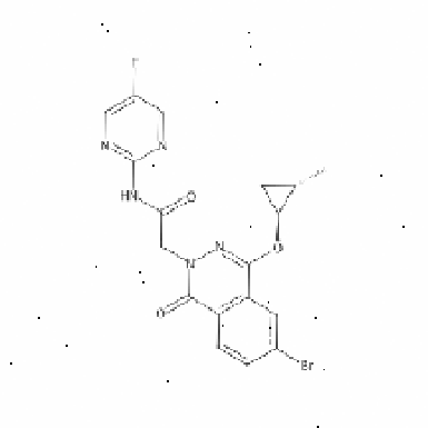 C[C@H]1C[C@@H]1Oc1nn(CC(=O)Nc2ncc(F)cn2)c(=O)c2ccc(Br)cc12